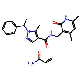 C=CC(N)=O.Cc1cc(C)c(CNC(=O)c2cnn(C(C)c3ccccc3)c2C)c(=O)[nH]1